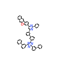 c1ccc(-c2cccc(-c3nc(-c4cccc(-c5ccccc5)c4)nc(-c4cccc(-c5cccc(-c6cc(-c7ccc8c(c7)oc7cc9ccccc9cc78)nc(-c7ccccc7)n6)c5)c4)n3)c2)cc1